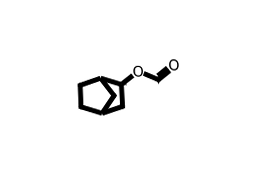 O=[C]O[C]1CC2CCC1C2